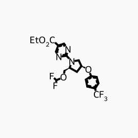 CCOC(=O)c1cnc(N2C[C@@H](Oc3ccc(C(F)(F)F)cc3)C[C@H]2COC(F)F)nc1